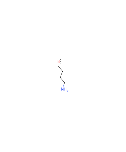 CCCCN.[B]